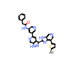 CC(=O)c1ccc(-c2cncc3[nH]c(-c4n[nH]c5cnc(-c6cncc(NC(=O)Cc7ccccc7)c6)cc45)nc23)s1